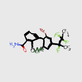 COc1c(C(N)=O)cccc1-c1c(Cl)cc(C(F)(C(F)(F)F)C(F)(F)C(F)(F)F)cc1Br